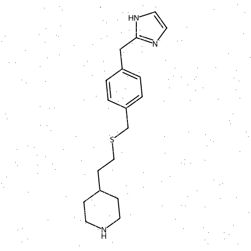 c1c[nH]c(Cc2ccc(CSCCC3CCNCC3)cc2)n1